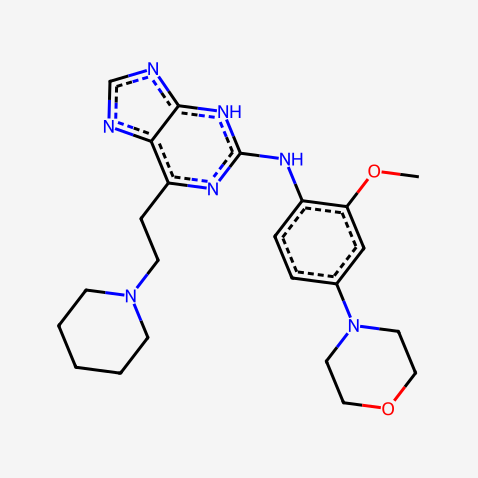 COc1cc(N2CCOCC2)ccc1Nc1nc(CCN2CCCCC2)c2ncnc-2[nH]1